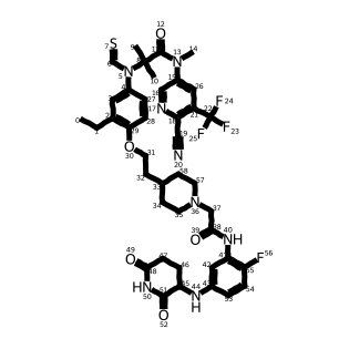 CCc1cc(N(C=S)C(C)(C)C(=O)N(C)c2cnc(C#N)c(C(F)(F)F)c2)ccc1OCCC1CCN(CC(=O)Nc2cc(NC3CCC(=O)NC3=O)ccc2F)CC1